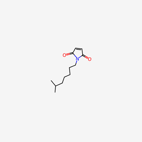 CC(C)CCCCCN1C(=O)C=CC1=O